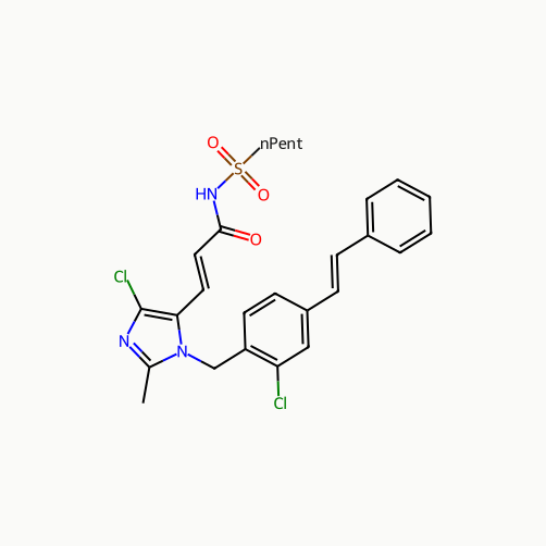 CCCCCS(=O)(=O)NC(=O)C=Cc1c(Cl)nc(C)n1Cc1ccc(C=Cc2ccccc2)cc1Cl